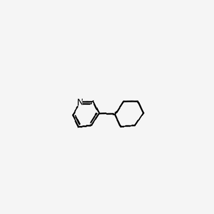 c1cncc([C]2CCCCC2)c1